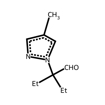 CCC(C=O)(CC)n1cc(C)cn1